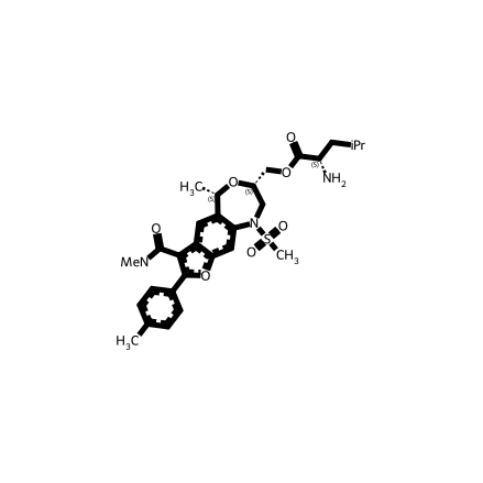 CNC(=O)c1c(-c2ccc(C)cc2)oc2cc3c(cc12)[C@H](C)O[C@H](COC(=O)[C@@H](N)CC(C)C)CN3S(C)(=O)=O